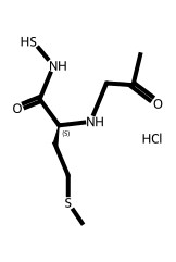 CSCC[C@H](NCC(C)=O)C(=O)NS.Cl